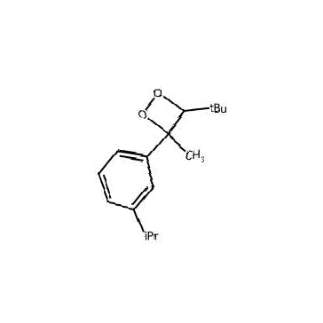 CC(C)c1cccc(C2(C)OOC2C(C)(C)C)c1